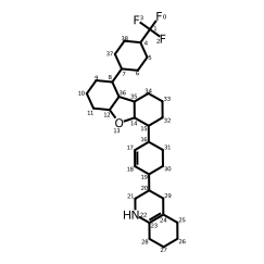 FC(F)(F)C1CCC(C2CCCC3OC4C(C5C=CC(C6CNC7=C(CCCC7)C6)CC5)CCCC4C32)CC1